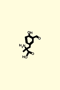 CC(N)(Cc1ccc(O)c(C=O)c1)C(=O)O